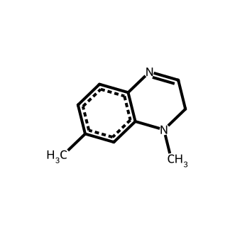 Cc1ccc2c(c1)N(C)CC=N2